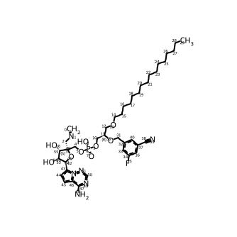 C=NC[C@]1(COP(=O)(O)OC[C@@H](COCCCCCCCCCCCCCCCC)OCc2cc(F)cc(C#N)c2)O[C@@H](c2ccc3c(N)ncnn23)[C@H](O)[C@@H]1O